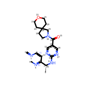 C=N/C=C\C(=N/C)[C@@H](C)Nc1ncc(C(=O)N2CCC3(CCOCC3)C2)cn1